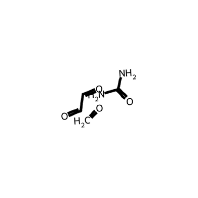 C=O.NC(N)=O.O=CC=O